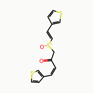 O=C(/C=C\c1ccsc1)C[S+]([O-])/C=C/c1ccsc1